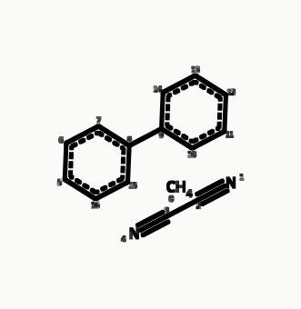 C.N#CC#N.c1ccc(-c2ccccc2)cc1